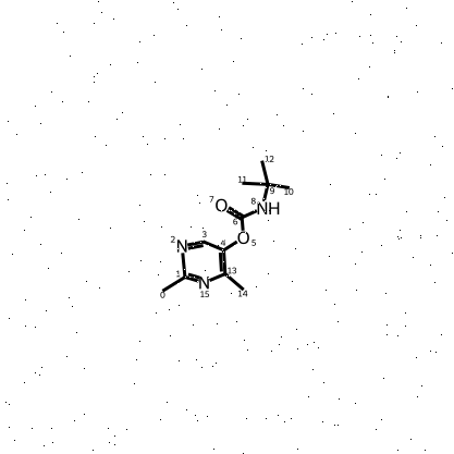 Cc1ncc(OC(=O)NC(C)(C)C)c(C)n1